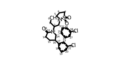 CCC(CN1CCCS1(=O)=O)N1C(=O)CCC(c2cccc(Cl)c2)[C@H]1c1ccc(Cl)cc1